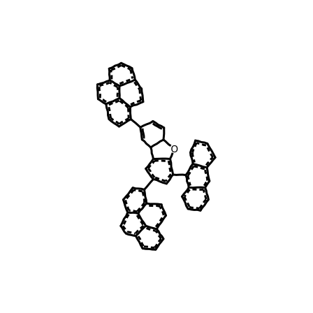 C1=CC2Oc3c(-c4c5ccccc5cc5ccccc45)cc(-c4ccc5ccc6cccc7ccc4c5c67)cc3C2C=C1c1ccc2ccc3cccc4ccc1c2c34